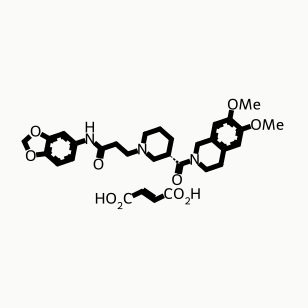 COc1cc2c(cc1OC)CN(C(=O)[C@H]1CCCN(CCC(=O)Nc3ccc4c(c3)OCO4)C1)CC2.O=C(O)/C=C/C(=O)O